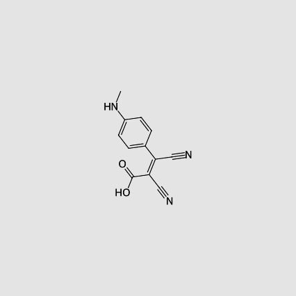 CNc1ccc(C(C#N)=C(C#N)C(=O)O)cc1